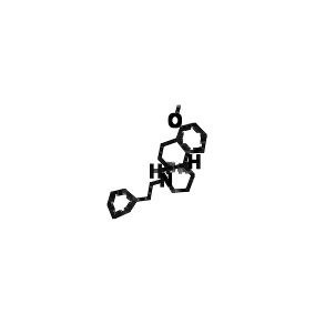 COc1cccc2c1CC[C@@H]1[C@H]2CCCN1CCc1ccccc1